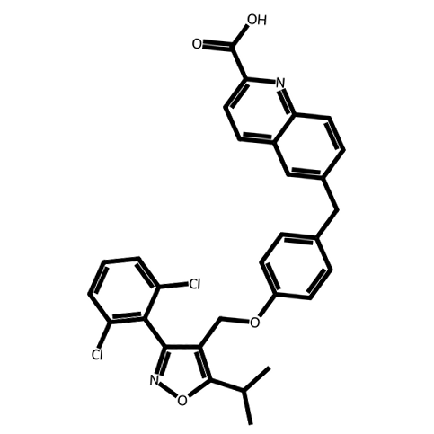 CC(C)c1onc(-c2c(Cl)cccc2Cl)c1COc1ccc(Cc2ccc3nc(C(=O)O)ccc3c2)cc1